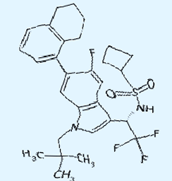 CC(C)(C)Cn1cc([C@H](NS(=O)(=O)C2CCC2)C(F)(F)F)c2cc(F)c(-c3cccc4c3CCCC4)cc21